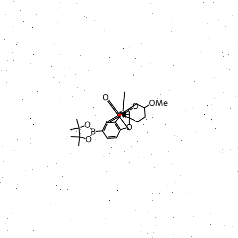 COC1CCC2(CC1)Oc1ccc(B3OC(C)(C)C(C)(C)O3)cc1C21NC(=O)N(C)C1=O